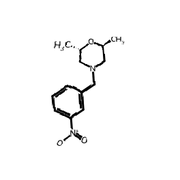 C[C@H]1CN(Cc2cccc([N+](=O)[O-])c2)C[C@H](C)O1